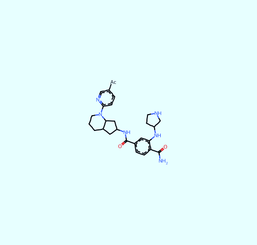 CC(=O)c1ccc(N2CCCC3CC(NC(=O)c4ccc(C(N)=O)c(NC5CCNC5)c4)CC32)nc1